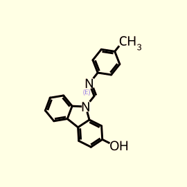 Cc1ccc(/N=C/n2c3ccccc3c3ccc(O)cc32)cc1